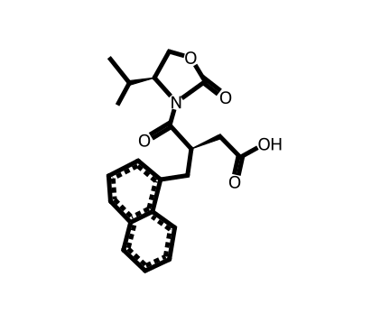 CC(C)[C@H]1COC(=O)N1C(=O)[C@@H](CC(=O)O)Cc1cccc2ccccc12